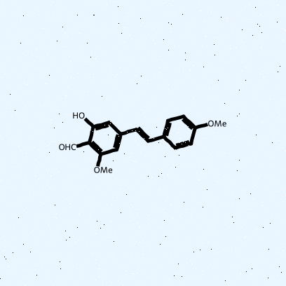 COc1ccc(/C=C/c2cc(O)c(C=O)c(OC)c2)cc1